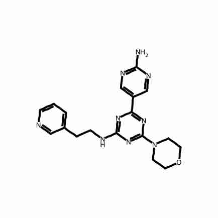 Nc1ncc(-c2nc(NCCc3cccnc3)nc(N3CCOCC3)n2)cn1